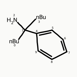 CCCCC(N)(CCCC)c1ccccc1